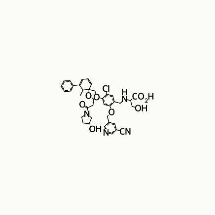 CC1C(c2ccccc2)=CC=CC1(COc1cc(OCc2cncc(C#N)c2)c(CNC(CO)C(=O)O)cc1Cl)OCCC(=O)N1CC[C@@H](O)C1